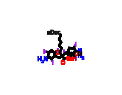 CCCCCCCCCCCCCCCC(=O)C(Cc1c(I)cc(I)c(N)c1I)(CC(O)CO)C(=O)Oc1c(I)cc(I)c(N)c1I